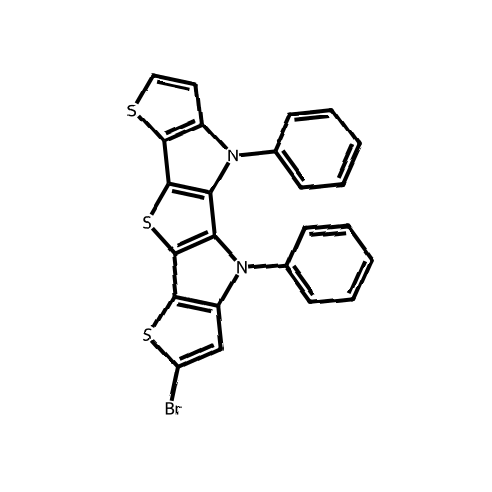 Brc1cc2c(s1)c1sc3c4sccc4n(-c4ccccc4)c3c1n2-c1ccccc1